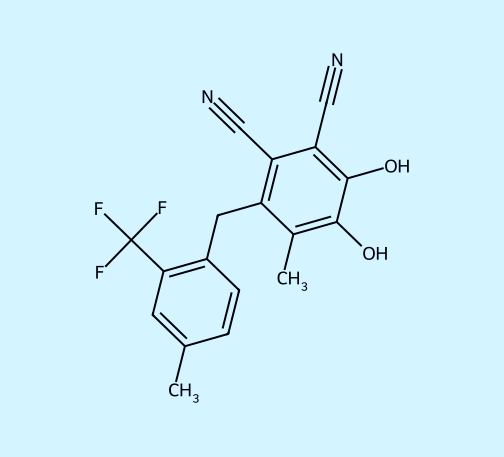 Cc1ccc(Cc2c(C)c(O)c(O)c(C#N)c2C#N)c(C(F)(F)F)c1